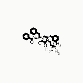 CC(C)(C)CCN1C(=O)C(=O)N([C@H](CNC(=O)c2ccccc2)Cc2ccccc2)C[C@@H]1Cc1ccccc1